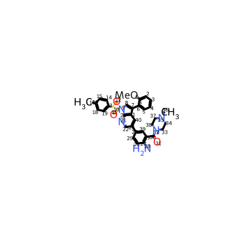 COc1ccccc1-c1cn(S(=O)(=O)c2ccc(C)cc2)c2ncc(-c3ccc(N)c(C(=O)N4CCN(C)CC4)c3)cc12